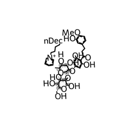 CCCCCCCCCCCCCC[n+]1ccccc1.COc1ccc(CCC(=O)c2c(O)cc(O[C@H]3[C@H](O[C@@H]4[C@@H](O)[C@H](O)[C@@H](CO)O[C@H]4O)O[C@@H](C)[C@H](O)[C@H]3O)cc2O)cc1O